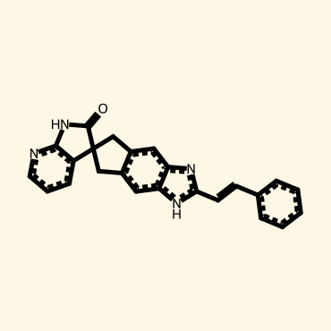 O=C1Nc2ncccc2C12Cc1cc3nc(/C=C/c4ccccc4)[nH]c3cc1C2